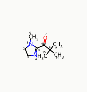 CN1CCN=C1C(=O)C(C)(C)C